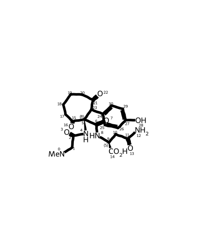 CNCC(=O)N[C@@]1(C(=O)N[C@@H](CC(N)=O)C(=O)O)C(=O)CCCCC(=O)C1c1ccc(O)cc1